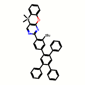 CC(C)(C)c1cc(-c2cc(-c3ccccc3)c(-c3ccccc3)cc2-c2ccccc2)ccc1-c1ncc2c(n1)Oc1ccccc1[Si]2(C)C